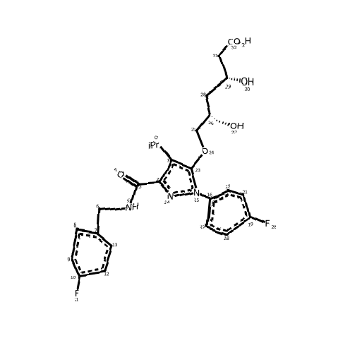 CC(C)c1c(C(=O)NCc2ccc(F)cc2)nn(-c2ccc(F)cc2)c1OC[C@@H](O)C[C@@H](O)CC(=O)O